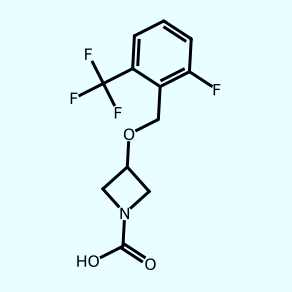 O=C(O)N1CC(OCc2c(F)cccc2C(F)(F)F)C1